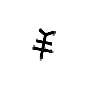 CC(C)C(C)C(C)(C)[Si](Cl)(Cl)Cl